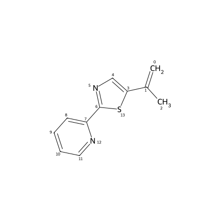 C=C(C)c1cnc(-c2ccccn2)s1